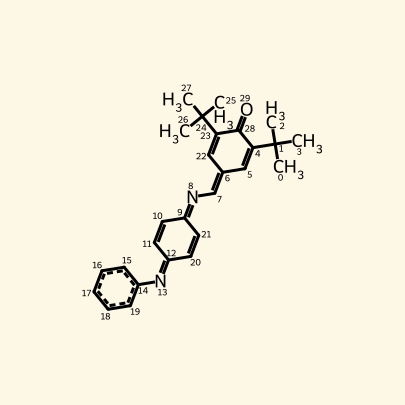 CC(C)(C)C1=CC(=CN=C2C=CC(=Nc3ccccc3)C=C2)C=C(C(C)(C)C)C1=O